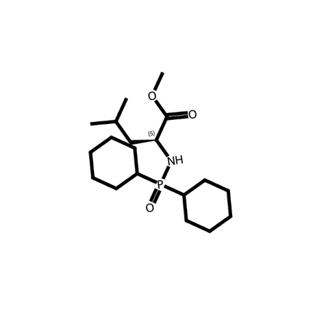 COC(=O)[C@H](CC(C)C)NP(=O)(C1CCCCC1)C1CCCCC1